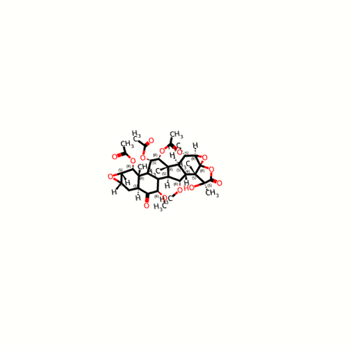 CO[C@H]1[C@@H]2[C@H]([C@H](C)[C@H]3O[C@]34OC(=O)[C@@](C)(O)[C@]24C)[C@]2(C)[C@@H]1C1C([C@H](OC(C)=O)[C@@H]2OC(C)=O)[C@]2(C)[C@H](C[C@@H]3O[C@@H]3[C@@H]2OC(C)=O)C(=O)[C@@H]1OC